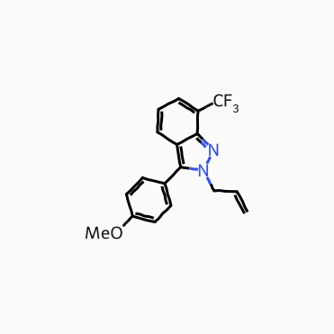 C=CCn1nc2c(C(F)(F)F)cccc2c1-c1ccc(OC)cc1